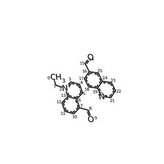 CC[n+]1cccc2c(C=O)cccc21.O=Cc1ccc2ncccc2c1